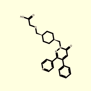 O=C(O)COC[C@H]1CC[C@@H](Cn2nc(-c3ccncc3)c(-c3ccccc3)cc2=O)CC1